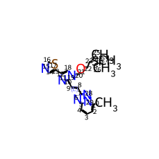 Cc1cccc2nc(/C=C/c3nc(-c4cncs4)cn3COCC[Si](C)(C)C)nn12